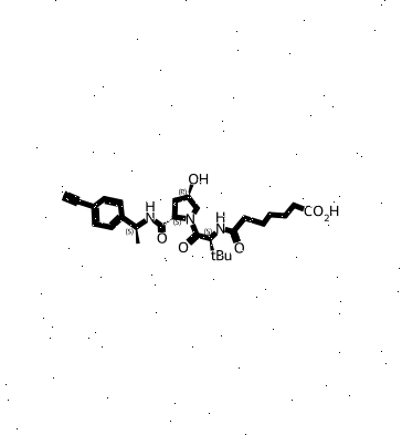 C#Cc1ccc([C@H](C)NC(=O)[C@@H]2C[C@@H](O)CN2C(=O)[C@@H](NC(=O)CCCCCC(=O)O)C(C)(C)C)cc1